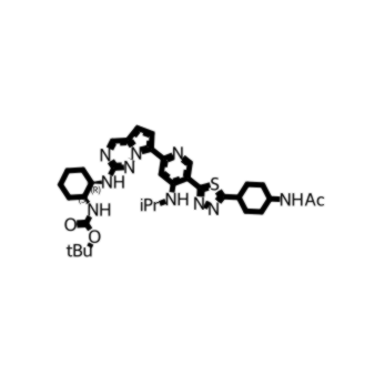 CC(=O)NC1CCC(c2nnc(-c3cnc(-c4ccc5cnc(N[C@@H]6CCCC[C@@H]6NC(=O)OC(C)(C)C)nn45)cc3NC(C)C)s2)CC1